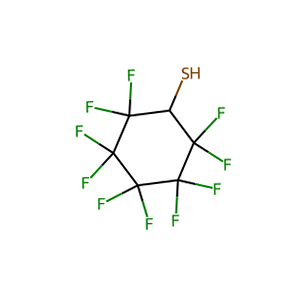 FC1(F)C(S)C(F)(F)C(F)(F)C(F)(F)C1(F)F